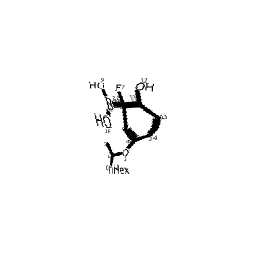 CCCCCCC(C)OC1=CC(F)(B(O)O)C(O)C=C1